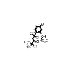 CCC(C)(C)C(Cl)CC(Cl)(Cl)c1ccc(Cl)cc1.O=C(O)O